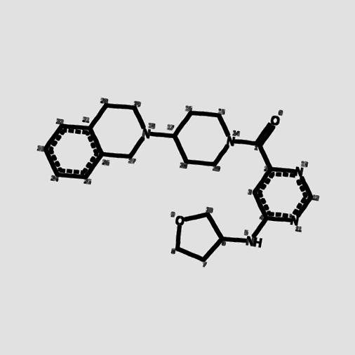 O=C(c1cc(NC2CCOC2)ncn1)N1CCC(N2CCc3ccccc3C2)CC1